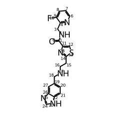 O=C(NCc1ncccc1F)c1csc(CCNCc2ccc3[nH]cnc3c2)n1